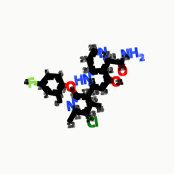 Cc1cc(F)ccc1Oc1nc(C)c(Cl)c(C)c1-c1cc(=O)c2c(C(N)=O)nccc2[nH]1